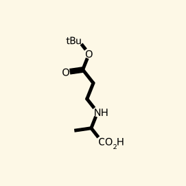 CC(NCCC(=O)OC(C)(C)C)C(=O)O